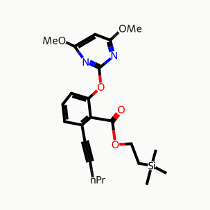 CCCC#Cc1cccc(Oc2nc(OC)cc(OC)n2)c1C(=O)OCC[Si](C)(C)C